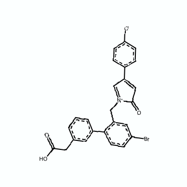 O=C(O)Cc1cccc(-c2ccc(Br)cc2C[N+]2=CC(c3ccc(Cl)cc3)=CC2=O)c1